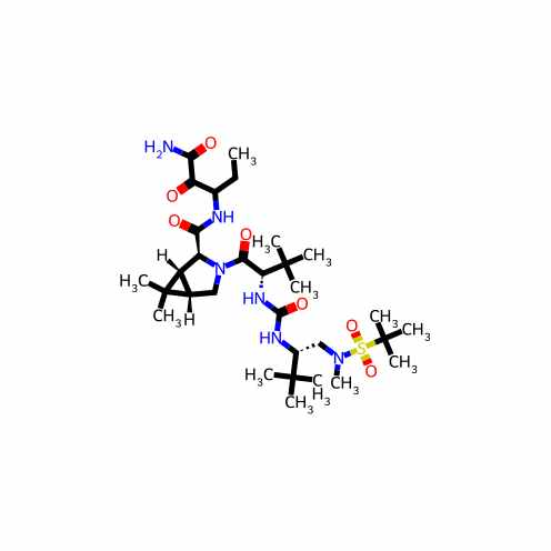 CCC(NC(=O)[C@@H]1[C@@H]2[C@H](CN1C(=O)[C@@H](NC(=O)N[C@H](CN(C)S(=O)(=O)C(C)(C)C)C(C)(C)C)C(C)(C)C)C2(C)C)C(=O)C(N)=O